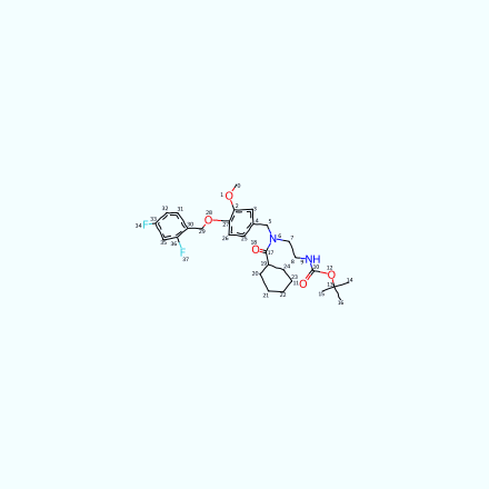 COc1cc(CN(CCNC(=O)OC(C)(C)C)C(=O)C2CCCCC2)ccc1OCc1ccc(F)cc1F